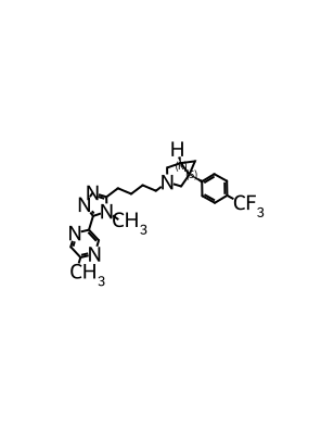 Cc1cnc(-c2nnc(CCCCN3C[C@@H]4C[C@]4(c4ccc(C(F)(F)F)cc4)C3)n2C)cn1